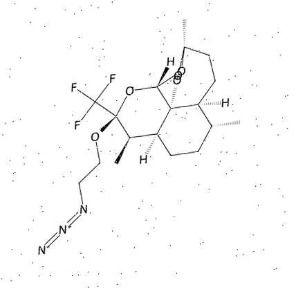 C[C@@H]1CC[C@H]2[C@@H](C)[C@](OCCN=[N+]=[N-])(C(F)(F)F)O[C@@H]3O[C@]4(C)CC[C@@H]1[C@]32OO4